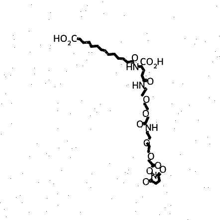 O=C(O)CCCCCCCCCCCCC(=O)N[C@@H](CCC(=O)NCCOCCOCC(=O)NCCOCCOCC(=O)ON1C(=O)CCC1=O)C(=O)O